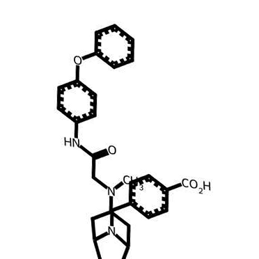 CN(CC(=O)Nc1ccc(Oc2ccccc2)cc1)C1CC2CCC(C1)N2Cc1ccc(C(=O)O)cc1